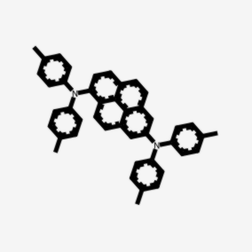 Cc1ccc(N(c2ccc(C)cc2)c2cc3ccc4ccc(N(c5ccc(C)cc5)c5ccc(C)cc5)c5ccc(c2)c3c45)cc1